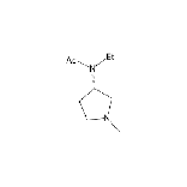 CCN(C(C)=O)[C@H]1CCN(C)C1